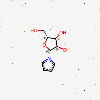 OC[C@H]1O[C@@H](n2cccc2)[C@H](O)[C@@H]1O